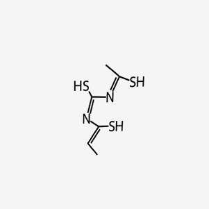 CC=C(S)/N=C(S)\N=C(/C)S